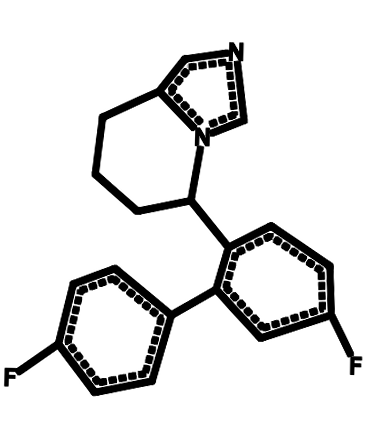 Fc1ccc(-c2cc(F)ccc2C2CCCc3cncn32)cc1